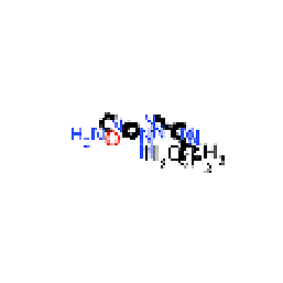 Cc1nn2ccc(-c3ccnc(Nc4ccc(N5CCCC(N)C5=O)cc4)n3)cc2c1C(C)C